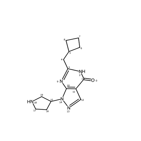 O=c1[nH]c(CC2CCC2)nc2c1cnn2C1CCNC1